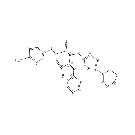 Cc1ccc(/C=C/C(=O)N(Cc2ccc(N3CCOCC3)cc2)[C@@H](Cc2ccccc2)C(=O)O)cn1